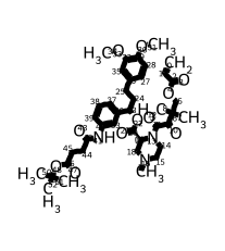 C=CC(=O)OCC(C)(C)C(=O)C(=O)N1CCN(C)C[C@H]1C(=O)OC(CCc1ccc(OC)c(OC)c1)c1cccc(NC(=O)CCC(=O)OC(C)(C)C)c1